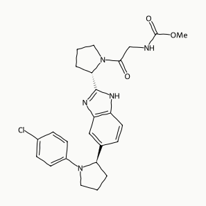 COC(=O)NCC(=O)N1CCC[C@H]1c1nc2cc([C@H]3CCCN3c3ccc(Cl)cc3)ccc2[nH]1